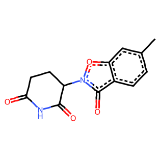 Cc1ccc2c(=O)n(C3CCC(=O)NC3=O)oc2c1